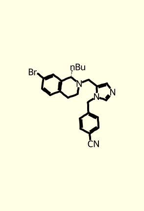 CCCC[C@H]1c2cc(Br)ccc2CCN1Cc1cncn1Cc1ccc(C#N)cc1